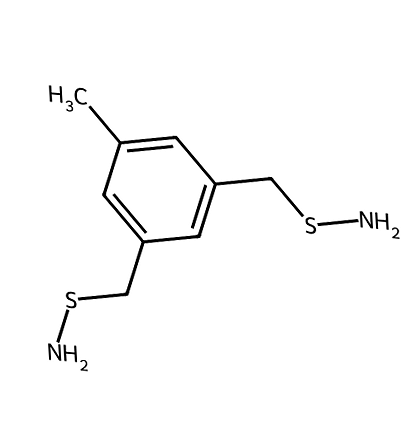 Cc1cc(CSN)cc(CSN)c1